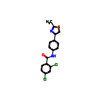 Cc1nc(-c2ccc(NC(=O)c3ccc(Cl)cc3Cl)cc2)cs1